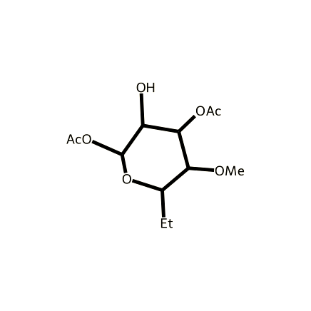 CCC1OC(OC(C)=O)C(O)C(OC(C)=O)C1OC